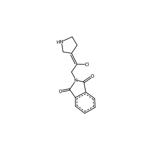 O=C1c2ccccc2C(=O)N1C/C(Cl)=C1/CCNC1